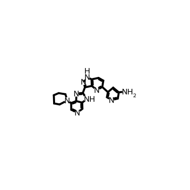 Nc1cncc(-c2ccc3[nH]nc(-c4nc5c(N6CCCCC6)cncc5[nH]4)c3n2)c1